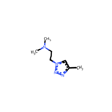 Cc1cn(CCN(C)C)nn1